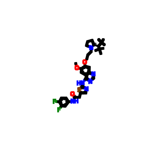 COc1cc2c(Nc3ncc(CC(=O)Nc4ccc(F)c(F)c4)s3)ncnc2cc1OCCCN1CCC[C@@H]1C(C(C)(C)C)C(C)(C)C